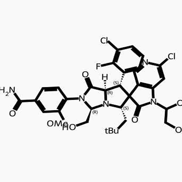 COc1cc(C(N)=O)ccc1N1C(=O)[C@H]2[C@H](c3cccc(Cl)c3F)C3(C(=O)N(C(O)CO)c4cc(Cl)ncc43)[C@H](CC(C)(C)C)N2[C@H]1CO